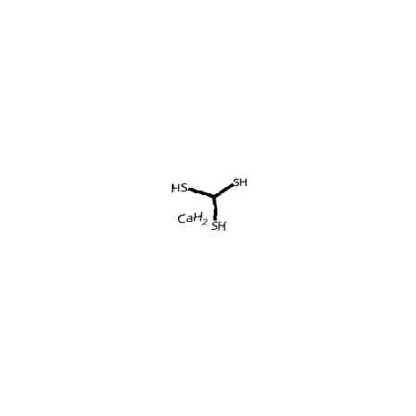 SC(S)S.[CaH2]